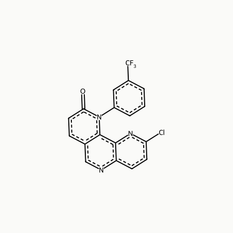 O=c1ccc2cnc3ccc(Cl)nc3c2n1-c1cccc(C(F)(F)F)c1